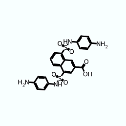 Nc1ccc(NS(=O)(=O)c2cc(C(=O)O)cc3c(S(=O)(=O)Nc4ccc(N)cc4)cccc23)cc1